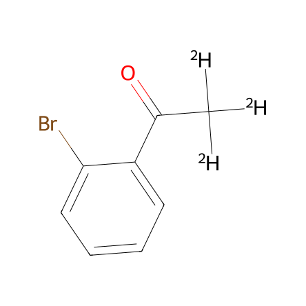 [2H]C([2H])([2H])C(=O)c1ccccc1Br